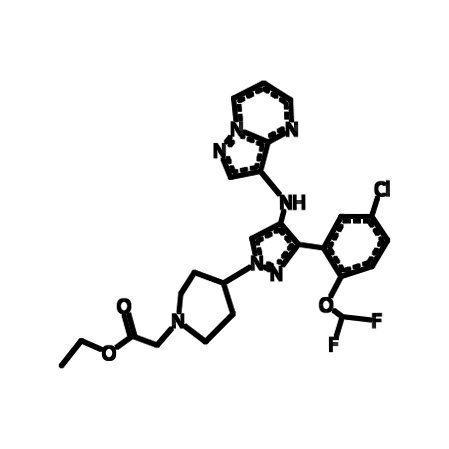 CCOC(=O)CN1CCC(n2cc(Nc3cnn4cccnc34)c(-c3cc(Cl)ccc3OC(F)F)n2)CC1